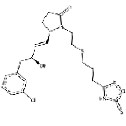 O=C1CC[C@H](/C=C/[C@@H](O)Cc2cccc(Cl)c2)N1CCSCCCc1noc(=O)[nH]1